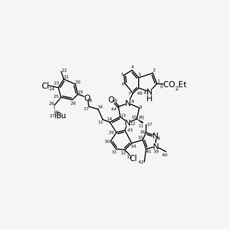 CCOC(=O)c1cc2cccc(N3C[C@@H](C)n4c(c(CCCOc5cc(C)c(Cl)c(C[C@@H](C)CC)c5)c5ccc(Cl)c(-c6c(C)nn(C)c6C)c54)C3=O)c2[nH]1